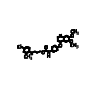 COc1cc2nccc(Oc3ccc(NC(=O)OCCCSc4ccc(Cl)cc4C)cc3)c2cc1OC